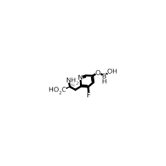 N[C@@H](Cc1ncc(OBO)cc1F)C(=O)O